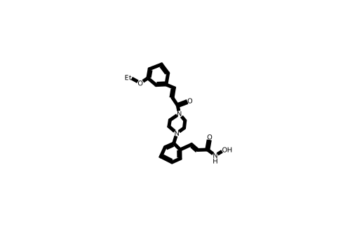 CCOc1cccc(C=CC(=O)N2CCN(c3ccccc3C=CC(=O)NO)CC2)c1